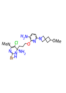 CNC1=C(Cl)C(N)(CCCOc2nc(N3CC4(CC(OC)C4)C3)ccc2N)NC(Br)=N1